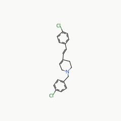 Clc1ccc(C=CC2=CCN(Cc3ccc(Cl)cc3)CC2)cc1